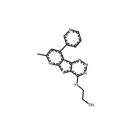 Cc1cc(-c2cccnc2)c2c(n1)sc1c(NCCO)nnnc12